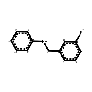 Fc1cccc(CPc2ccccc2)c1